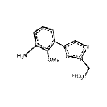 CCOC(=O)Cn1ncc(-c2cccc(N)c2OC)n1